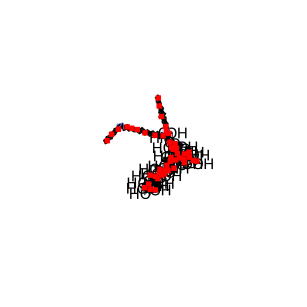 CCCCCCCC/C=C\CCCCCCCCCCCCCCCC(=O)N[C@@H](CO[C@@H]1OC(CO)[C@@H](O[C@@H]2OC(CO)[C@H](O[C@@H]3OC(CO)[C@H](O)[C@H](O[C@@H]4OC(CO)[C@H](O)[C@H](O[C@@H]5OC(CO)[C@@H](O[C@@H]6OC(CO)[C@H](O)[C@H](O)C6O)[C@H](O)C5NC(C)=O)C4O)C3NC(C)=O)[C@H](O[C@]3(C(=O)O)CC(O)[C@@H](NC(C)=O)C([C@H](O)[C@H](O)CO)O3)C2O)[C@H](O)C1O)[C@H](O)/C=C/CCCCCCCCCCCCC